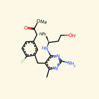 CCC[C@@H](CCO)Nc1nc(N)nc(C)c1Cc1cc(CC(=O)OC)ccc1F